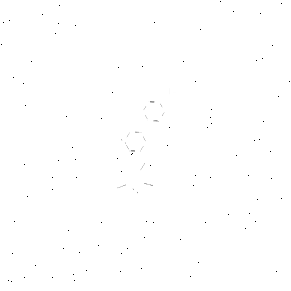 CC(C)(C)c1ccc(-c2cncc(/C=C3\SC(=O)NC3=O)c2)cc1